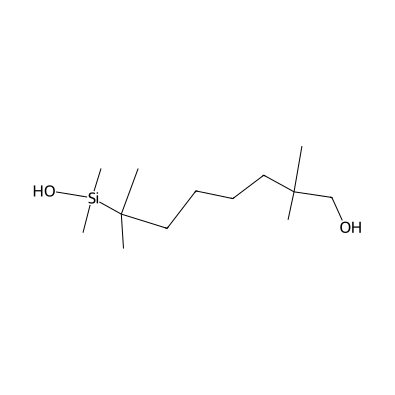 CC(C)(CO)CCCCC(C)(C)[Si](C)(C)O